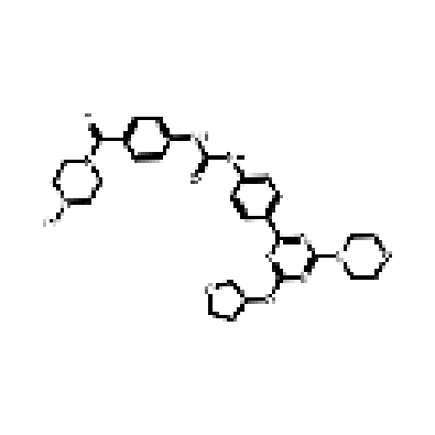 CC(C)N1CCN(C(=O)c2ccc(NC(=O)Nc3ccc(-c4nc(OC5CCOC5)nc(N5CCOCC5)n4)cc3)cc2)CC1